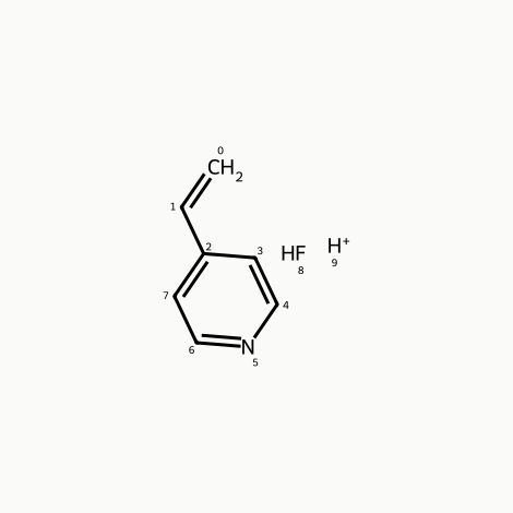 C=Cc1ccncc1.F.[H+]